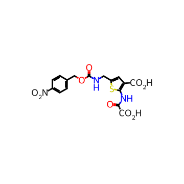 O=C(NCc1cc(C(=O)O)c(NC(=O)C(=O)O)s1)OCc1ccc([N+](=O)[O-])cc1